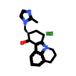 Cc1nccn1C[C@@H]1CCc2c(c3cccc4c3n2CCC4)C1=O.Cl